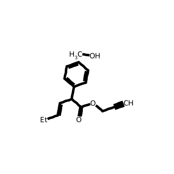 C#CCOC(=O)C(C=CCC)c1ccccc1.CO